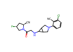 N#Cc1c(Cl)cccc1N1CC2C(C1)C2NCC(=O)N1C[C@@H](F)C[C@H]1C#N